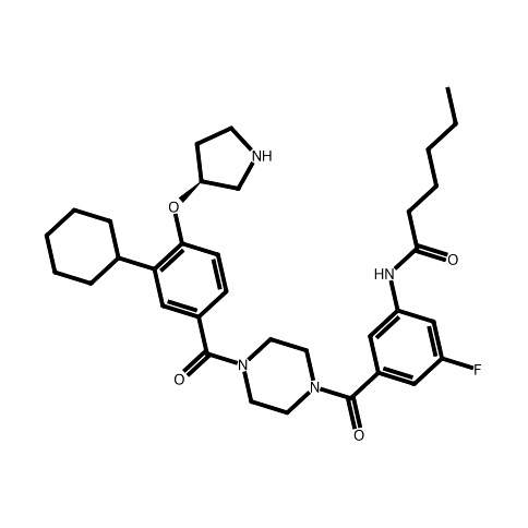 CCCCCC(=O)Nc1cc(F)cc(C(=O)N2CCN(C(=O)c3ccc(O[C@H]4CCNC4)c(C4CCCCC4)c3)CC2)c1